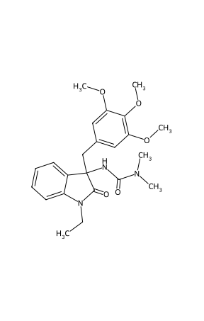 CCN1C(=O)C(Cc2cc(OC)c(OC)c(OC)c2)(NC(=O)N(C)C)c2ccccc21